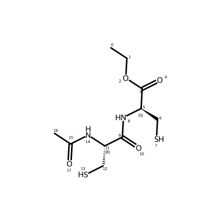 CCOC(=O)[C@@H](CS)NC(=O)[C@H](CS)NC(C)=O